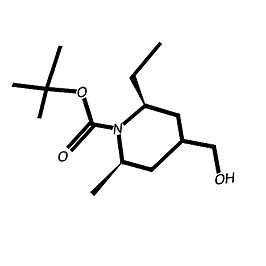 CC[C@H]1CC(CO)C[C@@H](C)N1C(=O)OC(C)(C)C